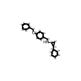 c1ccc(COc2ccc(CN[C@H]3CC3c3ccccc3)cc2)cc1